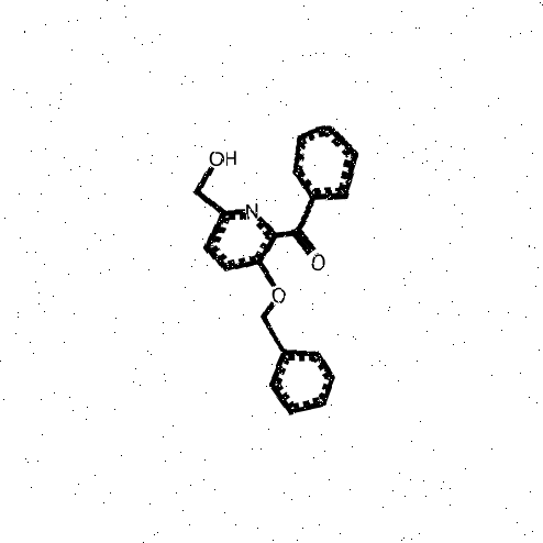 O=C(c1ccccc1)c1nc(CO)ccc1OCc1ccccc1